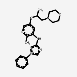 Cc1ncc(OC(C)CN2CCOCC2)cc1Nc1ncn(-c2ccccc2)n1